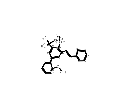 COc1ncccc1-c1cc(C=Cc2ccccc2)c(OC)c(C(C)(C)C)c1